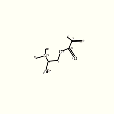 C=C(C)C(=O)OCC(CCC)N(C)C